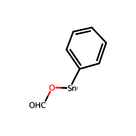 O=C[O][Sn][c]1ccccc1